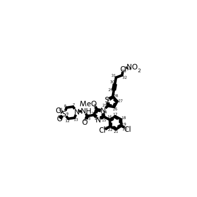 COc1c(C(=O)NN2CCS(=O)(=O)CC2)nc(-c2ccc(Cl)cc2Cl)n1-c1ccc(C#CCCO[N+](=O)[O-])s1